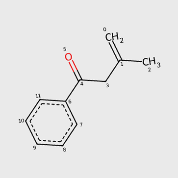 C=C(C)CC(=O)c1ccccc1